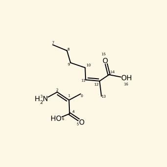 CC(=CN)C(=O)O.CCCCC=C(C)C(=O)O